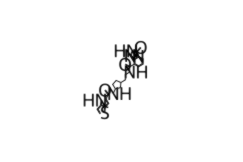 O=C(NC1CCC(CCNC(=O)c2cccn3c(=O)[nH]nc23)C1)c1cc2sccc2[nH]1